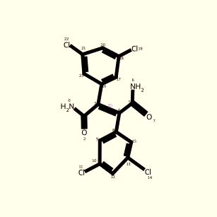 NC(=O)/C(=C(/C(N)=O)c1cc(Cl)cc(Cl)c1)c1cc(Cl)cc(Cl)c1